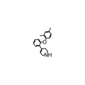 Cc1ccc(Oc2ccccc2C2=CCNCC2)c(C)c1